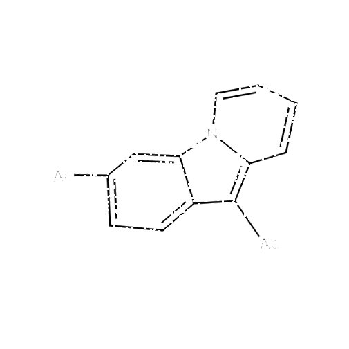 CC(=O)c1ccc2c(C(C)=O)c3ccccn3c2c1